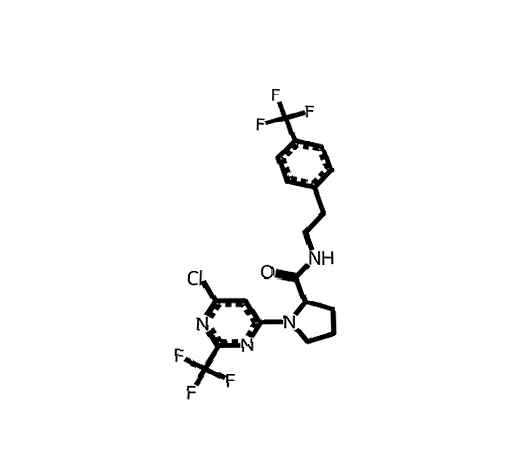 O=C(NCCc1ccc(C(F)(F)F)cc1)C1CCCN1c1cc(Cl)nc(C(F)(F)F)n1